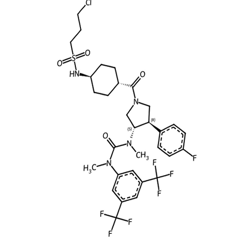 CN(C(=O)N(C)[C@@H]1CN(C(=O)[C@H]2CC[C@H](NS(=O)(=O)CCCCl)CC2)C[C@H]1c1ccc(F)cc1)c1cc(C(F)(F)F)cc(C(F)(F)F)c1